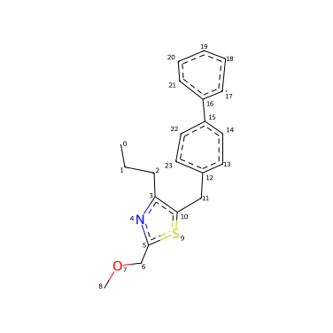 CCCc1nc(COC)sc1Cc1ccc(-c2[c]cccc2)cc1